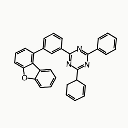 C1=CCC(c2nc(-c3ccccc3)nc(-c3cccc(-c4cccc5oc6ccccc6c45)c3)n2)C=C1